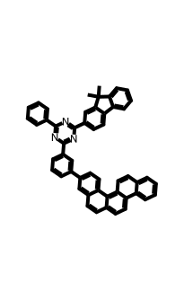 CC1(C)c2ccccc2-c2ccc(-c3nc(-c4ccccc4)nc(-c4cccc(-c5ccc6c(ccc7ccc8c9ccccc9ccc8c76)c5)c4)n3)cc21